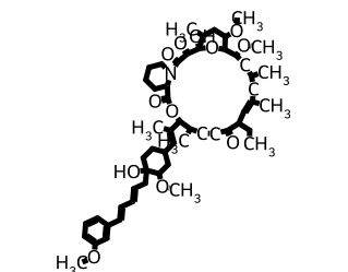 CCC1/C=C(\C)CC(C)CC(OC)C2OC(O)(C(=O)C(=O)N3CCCCC3C(=O)OC(C(C)=CC3CCC(O)(CC=CC=Cc4cccc(OC)c4)C(OC)C3)C(C)CCC1=O)C(C)CC2OC